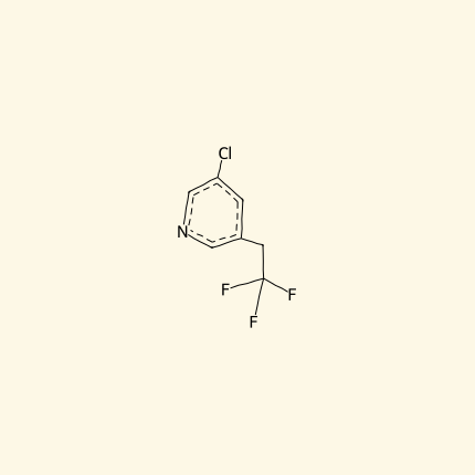 FC(F)(F)Cc1cncc(Cl)c1